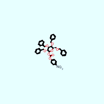 O=C(Oc1ccc([N+](=O)[O-])cc1)O[C@@H]1O[C@H](COCc2ccccc2)[C@H](OCc2ccccc2)[C@H](OCc2ccccc2)[C@H]1OCc1ccccc1